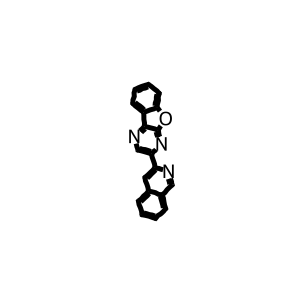 c1ccc2cc(-c3cnc4c(n3)oc3ccccc34)ncc2c1